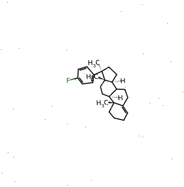 C[C@]12CCCC=C1CCC1[C@@H]2CC[C@@]2(C)[C@H]1CC[C@]2(C)c1ccc(F)cc1